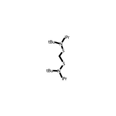 CC(C)N(SCSN(C(C)C)C(C)(C)C)C(C)(C)C